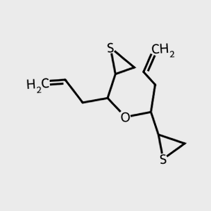 C=CCC(OC(CC=C)C1CS1)C1CS1